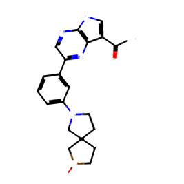 CC(C)(C)C(=O)c1c[nH]c2ncc(-c3cccc(N4CCC5(CC[S+]([O-])C5)C4)c3)nc12